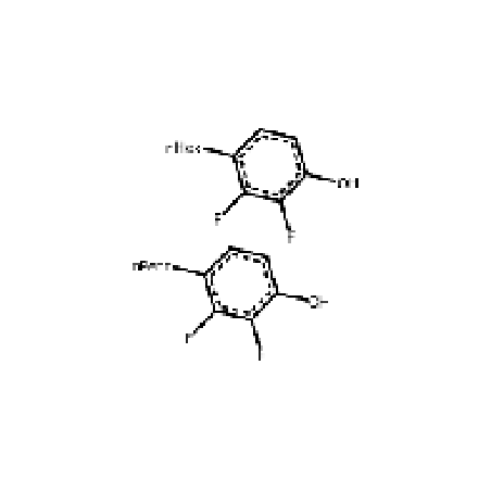 CCCCCCc1ccc(O)c(F)c1F.CCCCCc1ccc(O)c(F)c1F